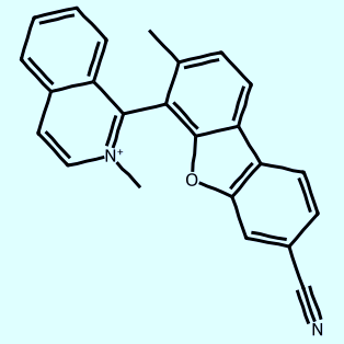 Cc1ccc2c(oc3cc(C#N)ccc32)c1-c1c2ccccc2cc[n+]1C